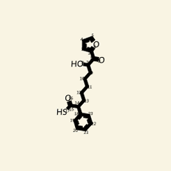 O=C(c1ccco1)C(O)CCCCCC(C(=O)S)c1ccccc1